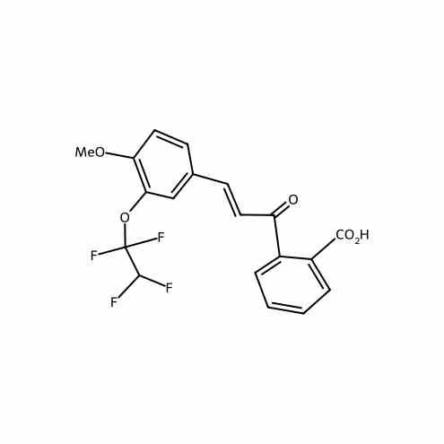 COc1ccc(/C=C/C(=O)c2ccccc2C(=O)O)cc1OC(F)(F)C(F)F